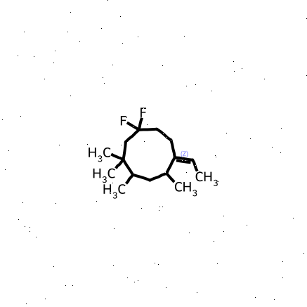 C/C=C1/CCC(F)(F)CC(C)(C)C(C)CC1C